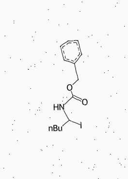 CCCCC(I)NC(=O)OCc1ccccc1